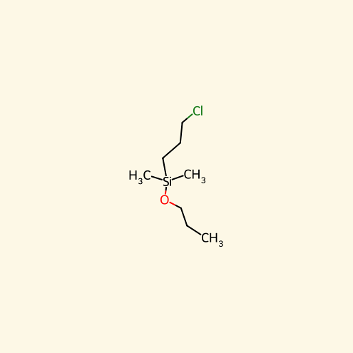 CCCO[Si](C)(C)CCCCl